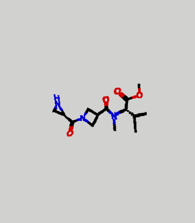 COC(=O)[C@H](C(C)C)N(C)C(=O)C1CN(C(=O)[C@H]2CN2)C1